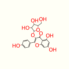 O=c1c(OC2OC(CO)C(O)C2O)c(-c2ccc(O)cc2)oc2cc(O)cc(O)c12